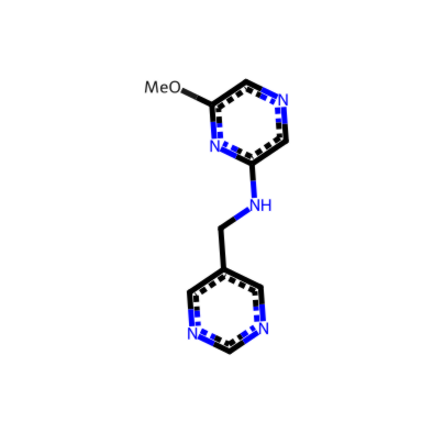 COc1cncc(NCc2cncnc2)n1